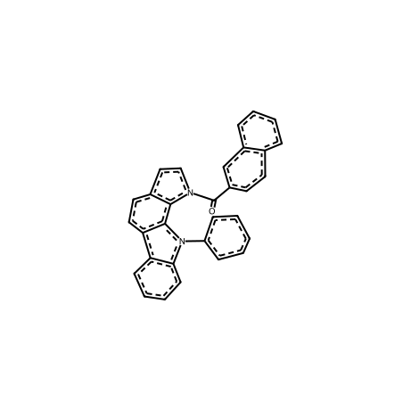 O=C(c1ccc2ccccc2c1)n1ccc2ccc3c4ccccc4n(-c4ccccc4)c3c21